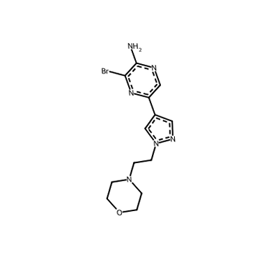 Nc1ncc(-c2cnn(CCN3CCOCC3)c2)nc1Br